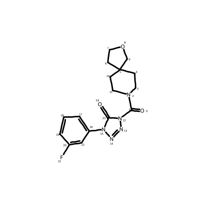 O=C(N1CCC2(CCOC2)CC1)n1nnn(-c2cccc(F)c2)c1=O